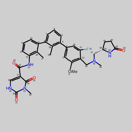 COc1cc(-c2cccc(-c3cccc(NC(=O)c4c[nH]c(=O)n(C)c4=O)c3C)c2C)cc(F)c1CN(C)C[C@@H]1CCC(=O)N1